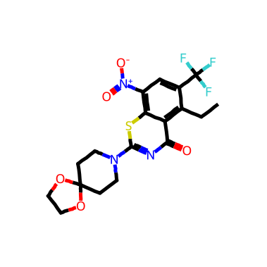 CCc1c(C(F)(F)F)cc([N+](=O)[O-])c2sc(N3CCC4(CC3)OCCO4)nc(=O)c12